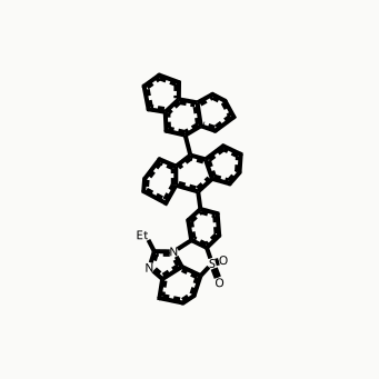 CCc1nc2cccc3c2n1-c1cc(-c2c4ccccc4c(-c4cc5ccccc5c5ccccc45)c4ccccc24)ccc1S3(=O)=O